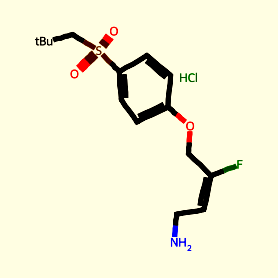 CC(C)(C)CS(=O)(=O)c1ccc(OC/C(F)=C\CN)cc1.Cl